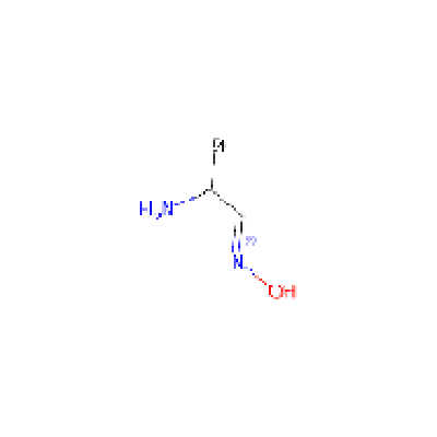 CCC(N)/C=N/O